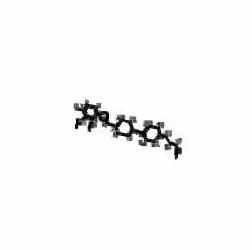 Cc1ccc(OCC2CCC(C3CCC(CCCF)CC3)CC2)c(F)c1F